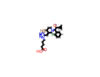 O=C(O)CCCCn1nnnc1C=C1CN(C(C(=O)C2CC2)c2ccccc2F)CCC1S